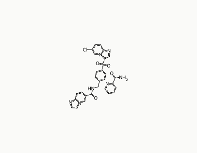 NC(=O)c1ccccn1.O=C(NCc1ccc(S(=O)(=O)c2cnc3ccc(Cl)cn23)cc1)c1ccc2nccn2c1